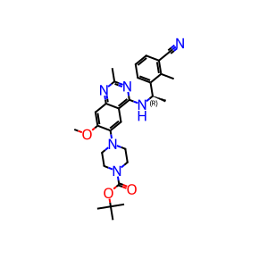 COc1cc2nc(C)nc(N[C@H](C)c3cccc(C#N)c3C)c2cc1N1CCN(C(=O)OC(C)(C)C)CC1